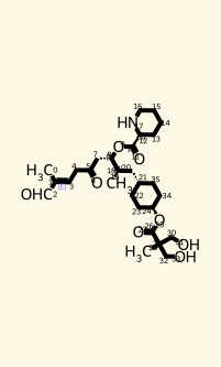 C/C(C=O)=C\CC(=O)C[C@H](OC(=O)[C@@H]1CCCCN1)[C@H](C)C[C@H]1CC[C@H](OC(=O)C(C)(CO)CO)CC1